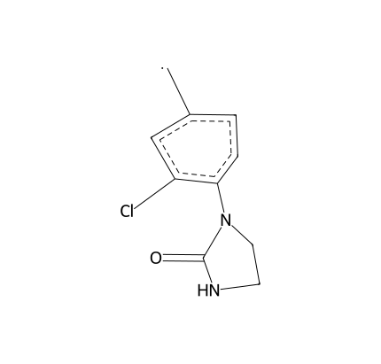 [CH2]c1ccc(N2CCNC2=O)c(Cl)c1